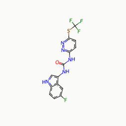 O=C(Nc1ccc(SC(F)(F)F)nn1)Nc1c[nH]c2ccc(F)cc12